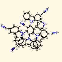 N#Cc1ccc2c(c1)c1ccccc1n2-c1c(C#N)c(-n2c3ccccc3c3cc(C#N)ccc32)c(-n2c3ccccc3c3cc(C#N)ccc32)c(-n2c3ccccc3c3cc(C#N)ccc32)c1-c1ccncc1